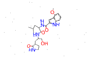 COc1cccc2[nH]c(C(=O)NC(CC(C)C)C(=O)NC(CO)CC3CCNC3=O)cc12